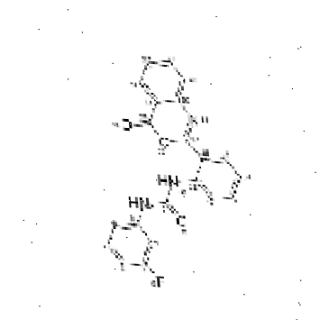 O=C(Nc1cccc(F)c1)Nc1ccccc1-c1nc2ccccc2c(=O)o1